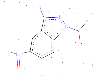 CC(O)n1nc(N)c2cc([N+](=O)[O-])ccc21